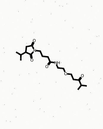 CC(C)C(=O)CCOCCNC(=O)CCCN1C(=O)CC(C(C)C)C1=O